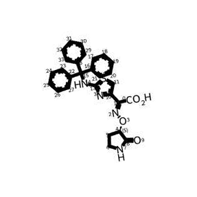 O=C(O)C(=NO[C@H]1CCNC1=O)c1csc(NC(c2ccccc2)(c2ccccc2)c2ccccc2)n1